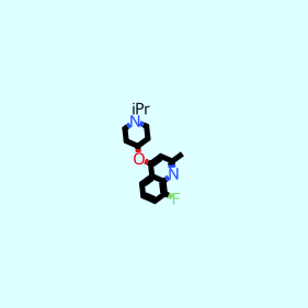 Cc1cc(OC2CCN(C(C)C)CC2)c2cccc(F)c2n1